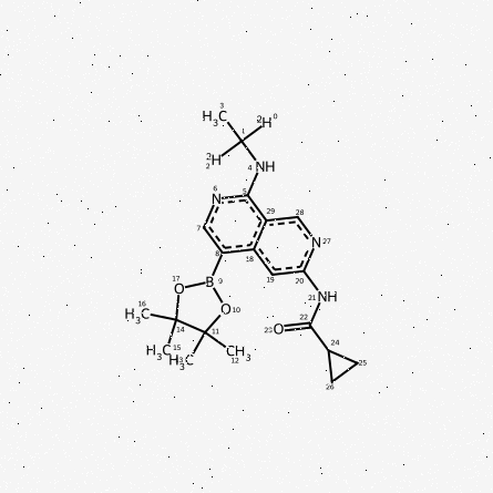 [2H]C([2H])(C)Nc1ncc(B2OC(C)(C)C(C)(C)O2)c2cc(NC(=O)C3CC3)ncc12